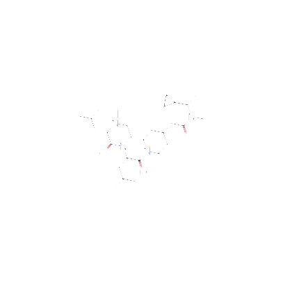 CC(C)CC(C(=O)N1CCC(CC(=O)N(C)C(C)C2CC2)CC1)N1CCN[C@@H](CC(C)C)C1=O